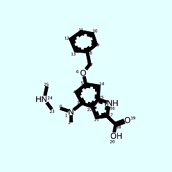 CN(C)c1cc(OCc2ccccc2)cc2[nH]c(C(=O)O)cc12.CNC